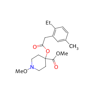 CCc1ccc(C)cc1CC(=O)OC1(C(=O)OC)CCN(OC)CC1